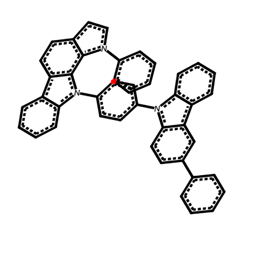 c1ccc(-c2ccc3c(c2)c2ccccc2n3-c2ccc(-n3c4ccccc4c4ccc5ccn(-c6ccccc6)c5c43)cc2)cc1